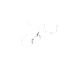 N#CC1C(=O)CC2CCCC1N2S(=O)(=O)c1ccc(Cl)cc1